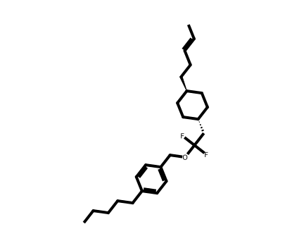 CC=CCC[C@H]1CC[C@H](CC(F)(F)OCc2ccc(CCCCC)cc2)CC1